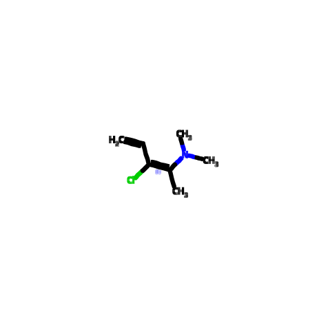 C=C/C(Cl)=C(/C)N(C)C